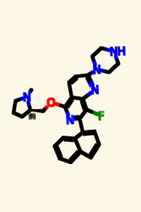 CN1CCC[C@@H]1COc1nc(-c2cccc3ccccc23)c(F)c2nc(N3CCNCC3)ccc12